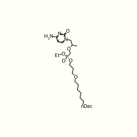 CCCCCCCCCCCCCCCCOCCCOP(=O)(COC(C)Cn1ccc(N)nc1=O)OCC